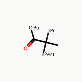 CCCCCC(C)(CCC)C(=O)OCC(C)C